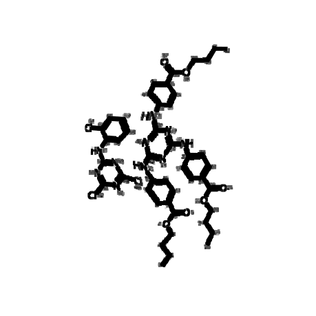 CCCCOC(=O)c1ccc(Nc2nc(Nc3ccc(C(=O)OCCCC)cc3)nc(Nc3ccc(C(=O)OCCCC)cc3)n2)cc1.Clc1nc(Cl)nc(Nc2ccccc2Cl)n1